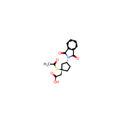 CC(=O)S[C@@]1(CC(=O)O)CC[C@@H](N2C(=O)c3ccccc3C2=O)C1